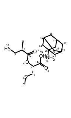 CSC[C@H](OC(=O)[C@H](C)CS)C(=O)O.NC12CC3CC(CC(C3)C1)C2